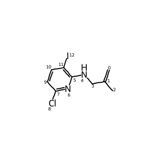 C=C(C)CNc1nc(Cl)ccc1I